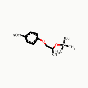 CCCCCCCCc1ccc(OCC(C#N)O[Si](C)(C)C(C)(C)C)cc1